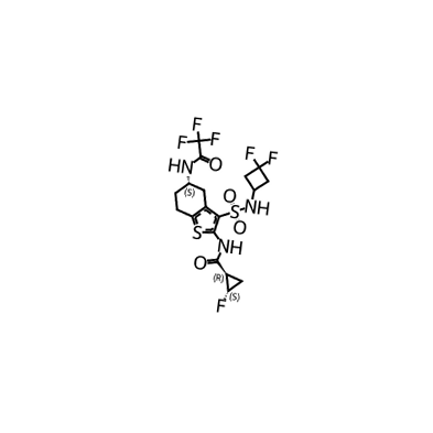 O=C(Nc1sc2c(c1S(=O)(=O)NC1CC(F)(F)C1)C[C@@H](NC(=O)C(F)(F)F)CC2)[C@H]1C[C@@H]1F